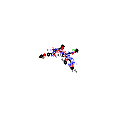 CC[C@H](C)[C@H](NC(=O)[C@H](CCCCNC(=O)OCc1ccccc1Cl)NC(=O)[C@H](COCc1ccccc1)NC(=O)[C@@H](N)CCCNC(=N)NS(=O)(=O)c1ccc(C)cc1)C(=O)N[C@@H](COCc1ccccc1)C(=O)N1CCC[C@H]1C(=O)N[C@@H](CCC(N)=O)C(=O)NCC(=O)N[C@@H](Cc1ccc(OC(=O)OCc2ccccc2Br)cc1)C(N)=O